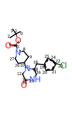 CC(C)(C)OC(=O)N1CCC(N2CC(=O)NC[C@@H]2Cc2ccc(Cl)cc2)CC1